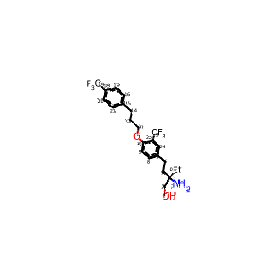 CC[C@@](N)(CO)CCc1ccc(OCCCc2ccc(C(F)(F)F)cc2)c(C(F)(F)F)c1